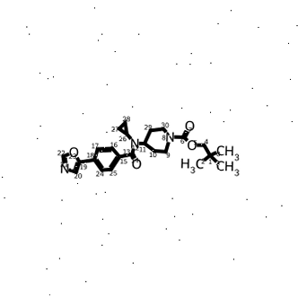 CC(C)(C)COC(=O)N1CCC(N(C(=O)c2ccc(-c3cnco3)cc2)C2CC2)CC1